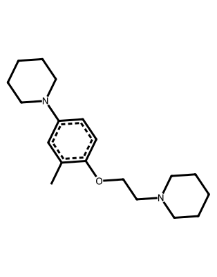 Cc1cc(N2CCCCC2)ccc1OCCN1CCCCC1